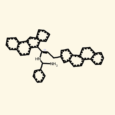 NC(N/C(=C\Cc1ccc2c(ccc3c4ccccc4ccc23)c1)c1c2ccccc2cc2c1ccc1ccccc12)c1ccccc1